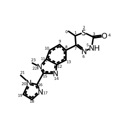 CC1SC(=O)NN=C1c1ccc2c(c1)nc(-c1nccn1C)n2C